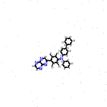 Cc1c(C)c(N(c2ccccc2)c2ccc(-c3ccccc3)cc2)c(C)c(C)c1-c1cnc2nccnc2n1